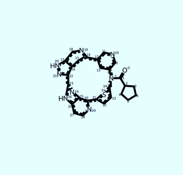 O=C(C1CCCC1)n1c2cncc(c2)c2cc3c(cn2)[nH]nc3c2nc3c(ccnc3c3ccc1s3)[nH]2